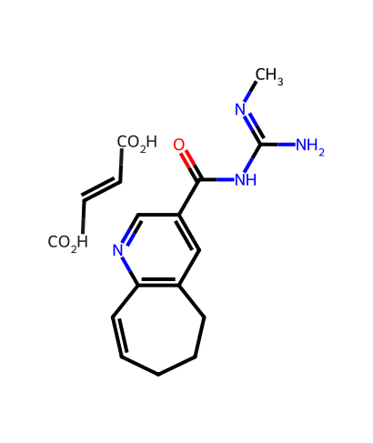 CN=C(N)NC(=O)c1cnc2c(c1)CCCC=C2.O=C(O)C=CC(=O)O